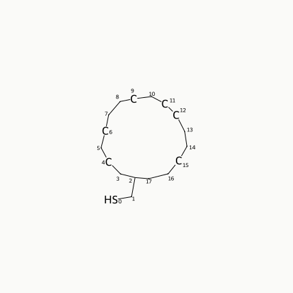 SCC1CCCCCCCCCCCCCCC1